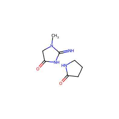 CN1CC(=O)NC1=N.O=C1CCCN1